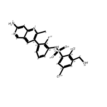 Cc1nc2cc(N)ncc2cc1-c1cccc(NS(=O)(=O)c2cc(Cl)cc(CO)c2Cl)c1F